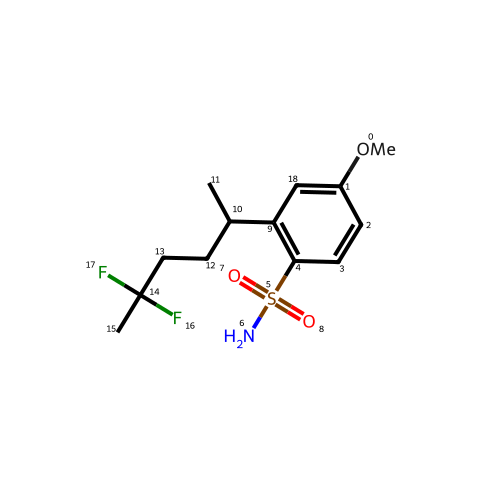 COc1ccc(S(N)(=O)=O)c(C(C)CCC(C)(F)F)c1